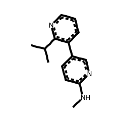 CNc1ccc(-c2cccnc2C(C)C)cn1